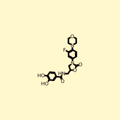 O=C(NCC1CN(c2ccc(N3CCOCC3)c(F)c2)C(=O)O1)c1ccc(O)c(O)c1